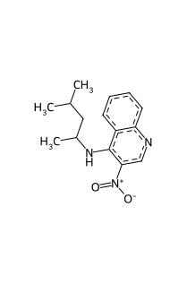 CC(C)CC(C)Nc1c([N+](=O)[O-])cnc2ccccc12